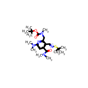 CN(C)C(=O)c1cc(N(C)C)nc(CN(C)C(=O)OC(C)(C)C)c1/C=N/SC(C)(C)C